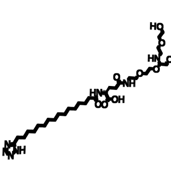 O=CC(NCCOCCO)OCCOCCNC(=O)CC[C@H](NC(=O)CCCCCCCCCCCCCCCc1nnn[nH]1)C(=O)O